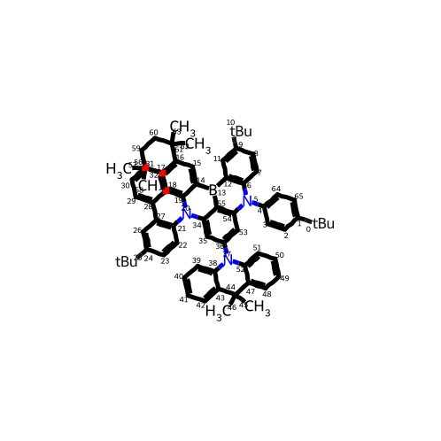 CC(C)(C)c1ccc(N2c3ccc(C(C)(C)C)cc3B3c4cc5c(cc4N(c4ccc(C(C)(C)C)cc4-c4ccccc4)c4cc(N6c7ccccc7C(C)(C)c7ccccc76)cc2c43)C(C)(C)CCC5(C)C)cc1